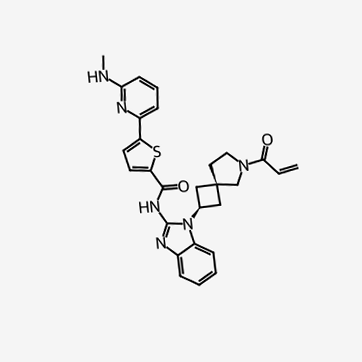 C=CC(=O)N1CC[C@]2(C1)C[C@H](n1c(NC(=O)c3ccc(-c4cccc(NC)n4)s3)nc3ccccc31)C2